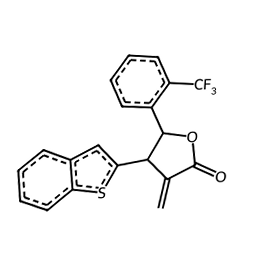 C=C1C(=O)OC(c2ccccc2C(F)(F)F)C1c1cc2ccccc2s1